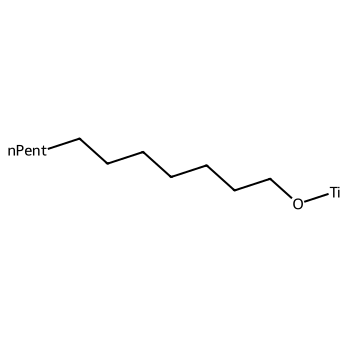 CCCCCCCCCCCC[O][Ti]